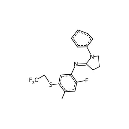 Cc1cc(F)c(N=C2CCCN2c2ccccc2)cc1SCC(F)(F)F